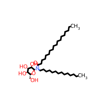 CCCCCCCCCCCCCCCCCC(=O)N(CCCCCCCCCCCCCC)[C@@H]1O[C@H](CO)[C@@H](O)[C@H](O)[C@H]1O